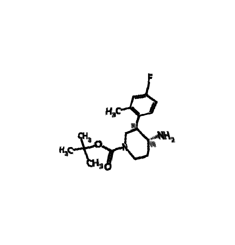 Cc1cc(F)ccc1[C@@H]1CN(C(=O)OC(C)(C)C)CC[C@H]1N